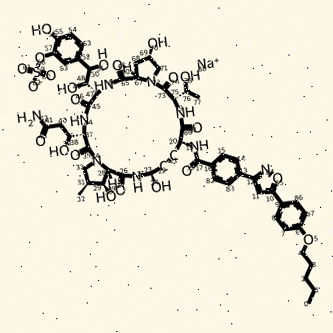 CCCCCOc1ccc(-c2cc(-c3ccc(C(=O)N[C@H]4CC[C@@H](O)NC(=O)[C@@H]5[C@@H](O)[C@@H](C)CN5C(=O)[C@H](C(O)CC(N)=O)NC(=O)[C@H](C(O)C(O)c5ccc(O)c(OS(=O)(=O)[O-])c5)NC(=O)[C@@H]5C[C@@H](O)CN5C(=O)[C@H](C(C)O)NC4=O)cc3)no2)cc1.[Na+]